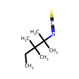 CCC(C)(C)C(C)(C)N=C=S